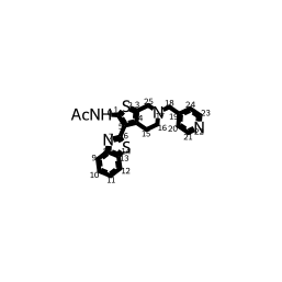 CC(=O)Nc1sc2c(c1-c1nc3ccccc3s1)CCN(Cc1ccncc1)C2